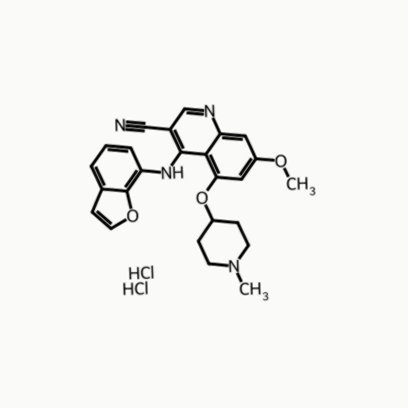 COc1cc(OC2CCN(C)CC2)c2c(Nc3cccc4ccoc34)c(C#N)cnc2c1.Cl.Cl